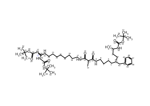 CC(CCN(CCCCNC(=O)C(F)C(=O)NCCCCCCCCN/C(=N/C(=O)OC(C)(C)C)NC(=O)OC(C)(C)C)Cc1ccccc1)NC(=O)OC(C)(C)C